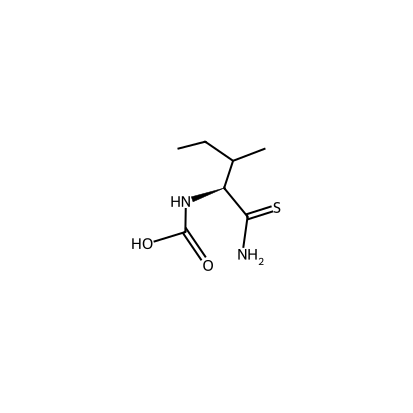 CCC(C)[C@H](NC(=O)O)C(N)=S